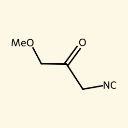 [C-]#[N+]CC(=O)COC